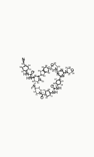 CN(C)C1CCN(C(=O)c2ccc(NC(=O)Nc3ccc(-c4nc(N5CCOCC5)nc(N5CCOC(c6ccc7c(c6)CC([C@H]6C[C@H](NC(=O)Nc8ccc(C#N)cc8)CCN6C)C7)C5)n4)cc3)cc2)CC1